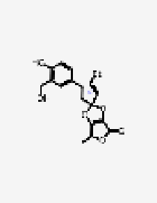 CC/C=C/C1(CCc2ccc(O)c(CO)c2)OC2=C(O1)C(C)OC2=O